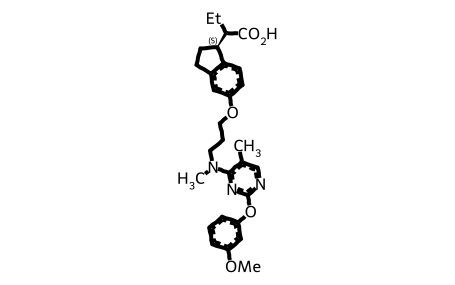 CCC(C(=O)O)[C@@H]1CCc2cc(OCCCN(C)c3nc(Oc4cccc(OC)c4)ncc3C)ccc21